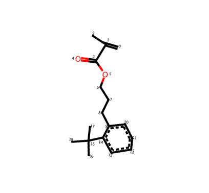 C=C(C)C(=O)OCCCc1cc[c]cc1C(C)(C)C